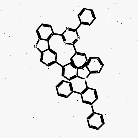 c1ccc(-c2ccc(-n3c4ccccc4c4cc(-c5ccc6oc7cccc(-c8nc(-c9ccccc9)nc(-c9ccccc9)n8)c7c6c5)ccc43)c(-c3ccccc3)c2)cc1